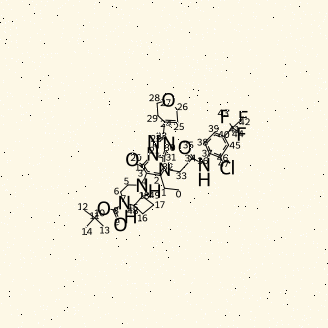 CCc1c(N2CCN(C(=O)OC(C)(C)C)[C@@H]3CC[C@H]32)c(=O)n2nc(C3=CCOCC3)nc2n1CC(=O)Nc1ccc(C(F)(F)F)cc1Cl